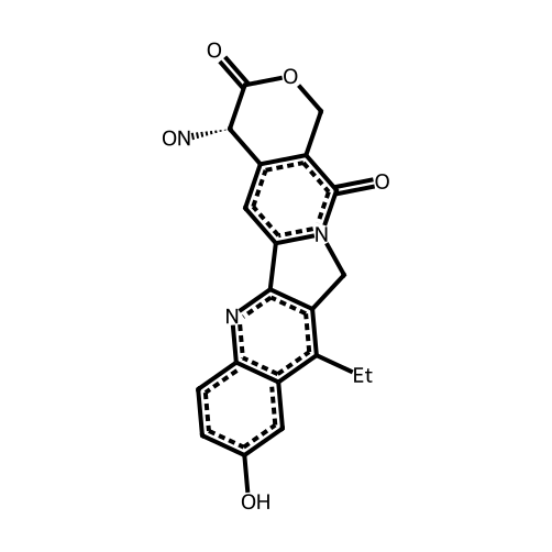 CCc1c2c(nc3ccc(O)cc13)-c1cc3c(c(=O)n1C2)COC(=O)[C@H]3N=O